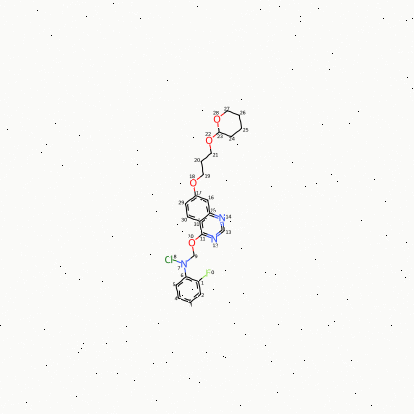 Fc1ccccc1N(Cl)COc1ncnc2cc(OCCCOC3CCCCO3)ccc12